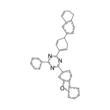 C1=Cc2cc(C3C=CC(c4nc(-c5ccccc5)nc(-c5ccc6c(c5)oc5ccccc56)n4)=CC3)ccc2CC1